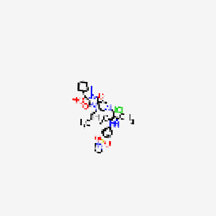 CCCCN1C(=O)[C@@H]([C@H](O)C2CCCCC2)NC(=O)C12CCN(Cc1c(C)nn(-c3ccc(S(=O)(=O)N4CCCC4)cc3)c1C)CC2.Cl